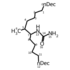 CCCCCCCCCCCCCCC(C)C(CCCCCCCCCCCCCC)NC(N)=O